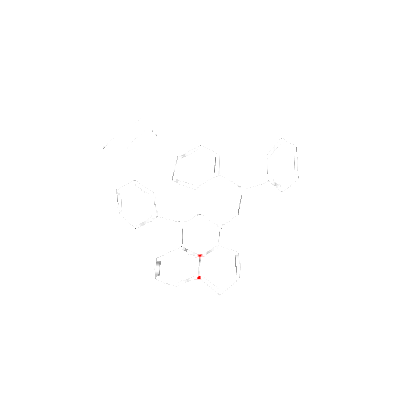 CC#N.[Cl][Pd][Cl].c1ccc(N(CP(c2ccccc2)c2ccccc2)CP(c2ccccc2)c2ccccc2)cc1